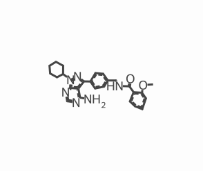 COc1ccccc1C(=O)NCc1ccc(-c2nn(C3CCCCC3)c3ncnc(N)c23)cc1